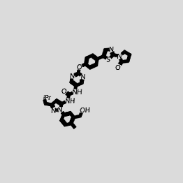 Cc1ccc(-n2nc(CC(C)C)cc2NC(=O)Nc2cnc(Oc3ccc(-c4cnc(N5CCCC5=O)s4)cc3)nc2)cc1CO